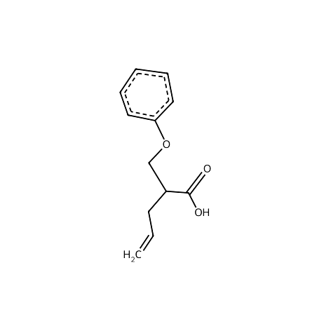 C=CCC(COc1ccccc1)C(=O)O